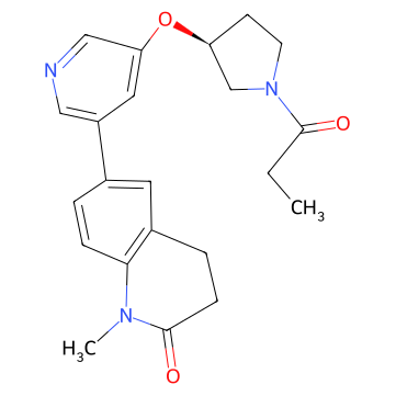 CCC(=O)N1CC[C@H](Oc2cncc(-c3ccc4c(c3)CCC(=O)N4C)c2)C1